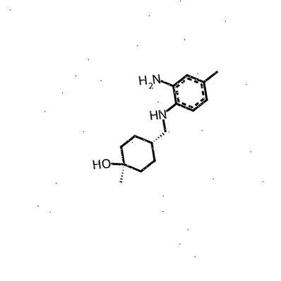 Cc1ccc(NC[C@H]2CC[C@](C)(O)CC2)c(N)c1